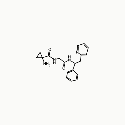 NC1(C(=O)NCC(=O)NC(Cc2ccccn2)c2ccccc2)CC1